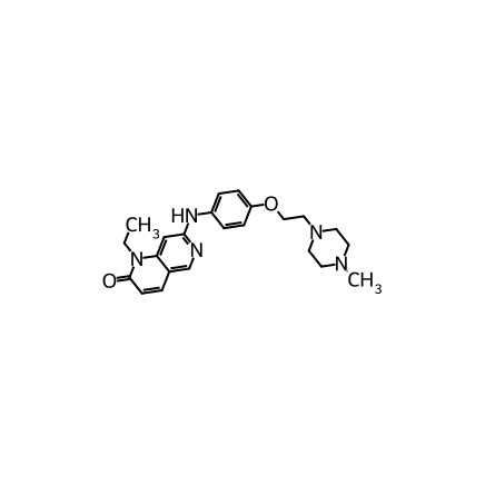 CCn1c(=O)ccc2cnc(Nc3ccc(OCCN4CCN(C)CC4)cc3)cc21